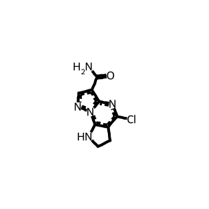 NC(=O)c1cnn2c3c(c(Cl)nc12)CCN3